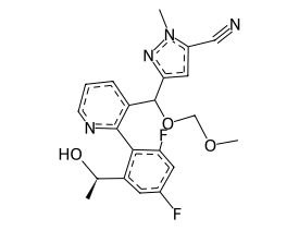 COCOC(c1cc(C#N)n(C)n1)c1cccnc1-c1c(F)cc(F)cc1[C@@H](C)O